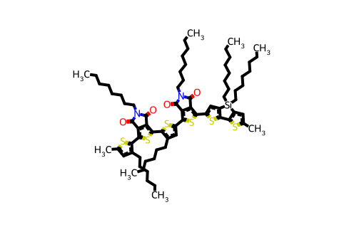 CCCCCCCCN1C(=O)c2c(-c3cc(CCCCCC)c(-c4sc(-c5sc(C)cc5CCCCCC)c5c4C(=O)N(CCCCCCCC)C5=O)s3)sc(-c3cc4c(s3)-c3sc(C)cc3[Si]4(CCCCCCCC)CCCCCCCC)c2C1=O